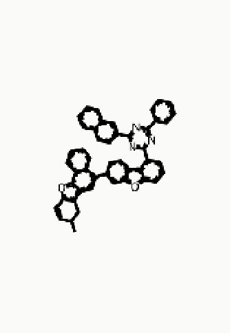 CC1C=Cc2oc3c(cc(-c4ccc5c(c4)oc4cccc(-c6nc(-c7ccccc7)nc(-c7ccc8ccccc8c7)n6)c45)c4ccccc43)c2C1